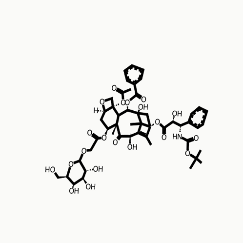 CC(=O)O[C@@]12CO[C@@H]1C[C@H](OC(=O)COC1O[C@H](CO)[C@@H](O)[C@H](O)[C@H]1O)[C@@]1(C)C(=O)[C@H](O)C3=C(C)[C@]4(OC(=O)[C@H](O)[C@@H](NC(=O)OC(C)(C)C)c5ccccc5)C[C@@](O)([C@@H](OC(=O)c5ccccc5)C12)C34C